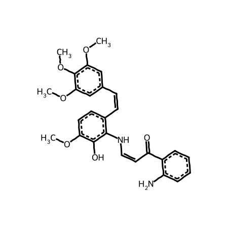 COc1ccc(/C=C\c2cc(OC)c(OC)c(OC)c2)c(N/C=C\C(=O)c2ccccc2N)c1O